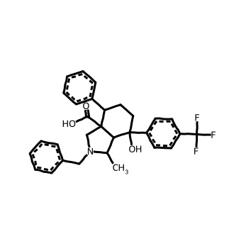 CC1C2C(O)(c3ccc(C(F)(F)F)cc3)CCC(c3ccccc3)C2(C(=O)O)CN1Cc1ccccc1